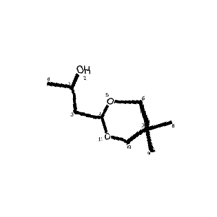 CC(O)CC1OCC(C)(C)CO1